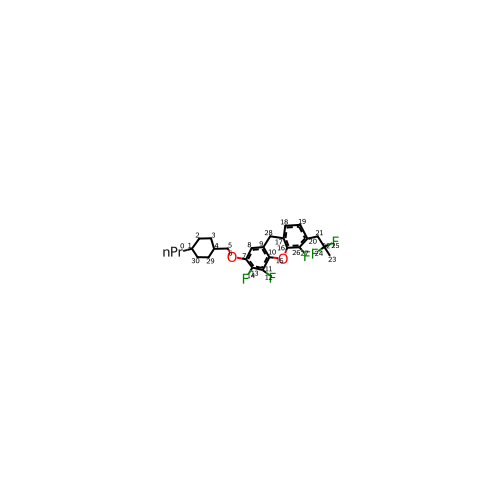 CCCC1CCC(COc2cc3c(c(F)c2F)Oc2c(ccc(CC(C)(F)F)c2F)C3)CC1